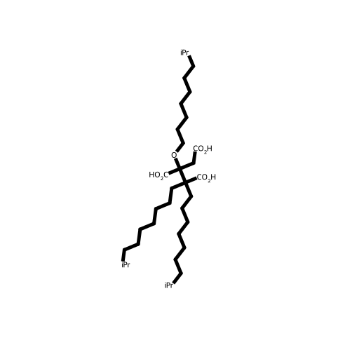 CC(C)CCCCCCCOC(CC(=O)O)(C(=O)O)C(CCCCCCCC(C)C)(CCCCCCCC(C)C)C(=O)O